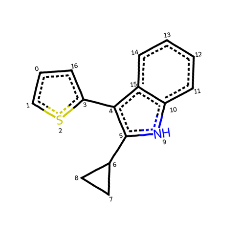 c1csc(-c2c(C3CC3)[nH]c3ccccc23)c1